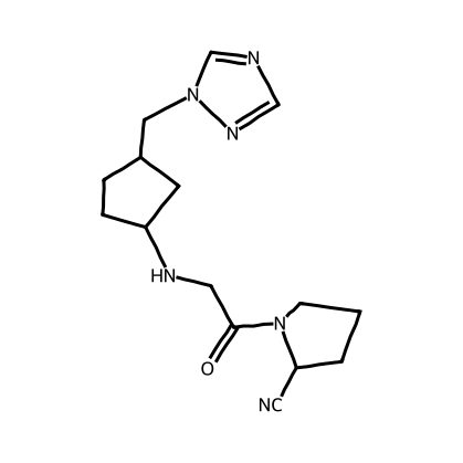 N#CC1CCCN1C(=O)CNC1CCC(Cn2cncn2)C1